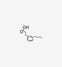 CCCCc1cccc(CCC(=O)O)c1